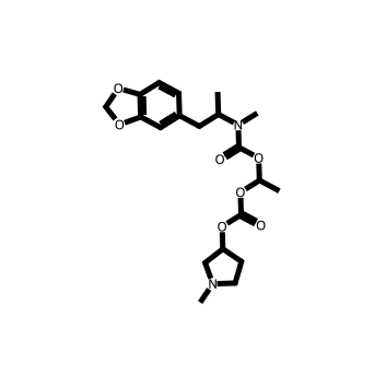 CC(OC(=O)OC1CCN(C)C1)OC(=O)N(C)C(C)Cc1ccc2c(c1)OCO2